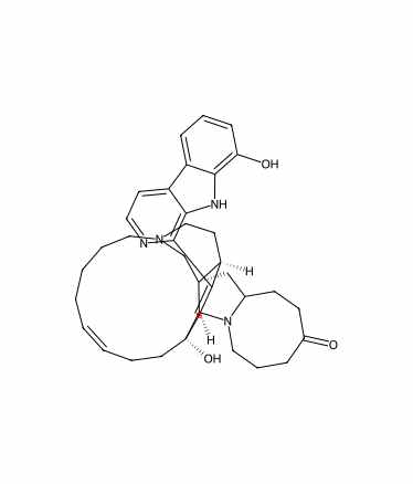 O=C1CCCN2C(CC1)C[C@]13CN4CCCC/C=C\CC[C@](O)(C=C(c5nccc6c5[nH]c5c(O)cccc56)[C@@H]1CC4)[C@H]23